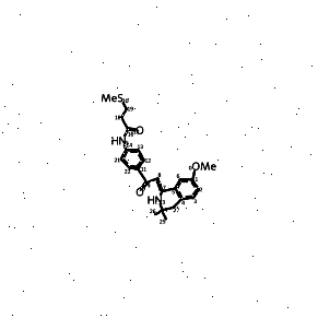 COc1ccc2c(c1)C(=CC(=O)c1ccc(NC(=O)CCSC)cc1)NC(C)(C)C2